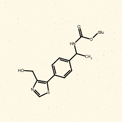 CC(NC(=O)OC(C)(C)C)c1ccc(-c2scnc2CO)cc1